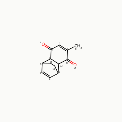 CC1=CC(=O)C2C3C=CC(CC3)C2C1=O